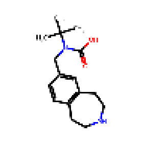 CC(C)(C)N(Cc1ccc2c(c1)CCNCC2)C(=O)O